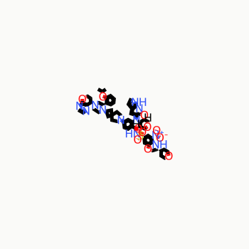 CC(C)Oc1ccccc1[C@@H]1CN([C@@H]2CCOc3nccnc32)CCN1C1CC2(CCN(c3ccc(C(=O)NS(=O)(=O)c4cc5c(c([N+](=O)[O-])c4)N[C@H](C4CCOCC4)CO5)c(N4c5cc6cc[nH]c6nc5O[C@H]5COCC[C@@H]54)c3)CC2)C1